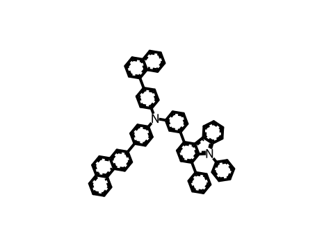 c1ccc(-c2ccc(-c3cccc(N(c4ccc(-c5ccc6c(ccc7ccccc76)c5)cc4)c4ccc(-c5cccc6ccccc56)cc4)c3)c3c4ccccc4n(-c4ccccc4)c23)cc1